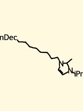 CCCCCCCCCCCCCCCCCCN1C=CN(C(C)C)C1C